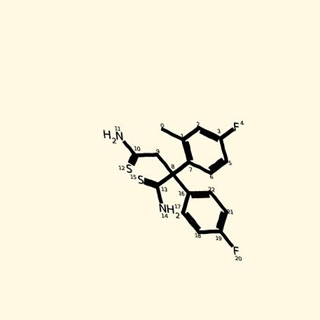 Cc1cc(F)ccc1C(CC(N)=S)(C(N)=S)c1ccc(F)cc1